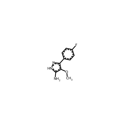 COc1c(-c2ccc(F)cc2)n[nH]c1N